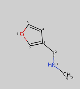 CNCc1ccoc1